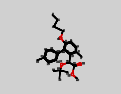 CCCCOc1ccc(C)c(C(OC(C)(C)C)C(=O)OC)c1-c1ccc(C)cc1